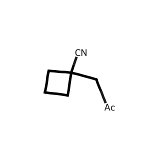 CC(=O)CC1(C#N)CCC1